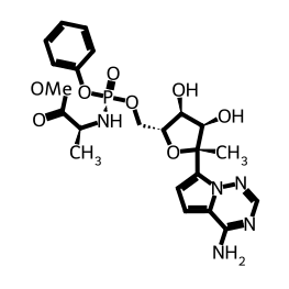 COC(=O)[C@H](C)N[P@](=O)(OC[C@H]1O[C@@](C)(c2ccc3c(N)ncnn23)[C@H](O)[C@@H]1O)Oc1ccccc1